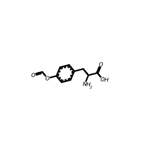 NC(Cc1ccc(OC=O)cc1)C(=O)O